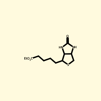 CCOC(=O)CCCCC1SCC2NC(=O)NC21